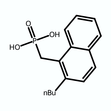 CCCCc1ccc2ccccc2c1CP(=O)(O)O